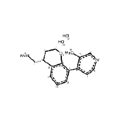 CNC[C@@H]1CCOc2c(-c3ccncc3OC)cccc21.Cl.Cl